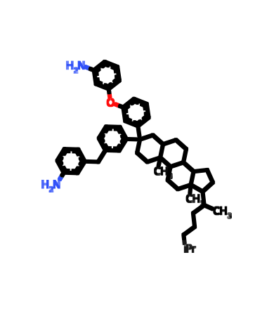 CC(C)CCCC(C)C1CCC2C3CCC4CC(c5cccc(Cc6cccc(N)c6)c5)(c5cccc(Oc6cccc(N)c6)c5)CCC4(C)C3CCC12C